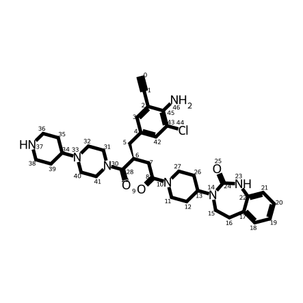 C#Cc1cc(C[C@@H](CC(=O)N2CCC(N3CCc4ccccc4NC3=O)CC2)C(=O)N2CCN(C3CCNCC3)CC2)cc(Cl)c1N